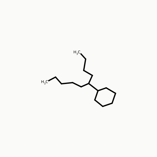 CCCCC[C](CCCC)C1CCCCC1